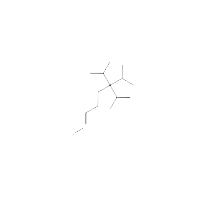 CC(C)C(CCCO[SiH3])(C(C)C)C(C)C